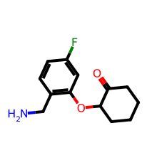 NCc1ccc(F)cc1OC1CCCCC1=O